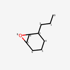 CCCC1CCCC2OC12